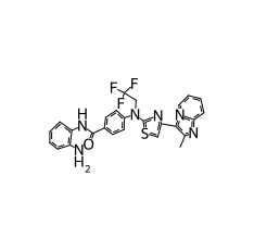 Cc1nc2ccccn2c1-c1csc(N(CC(F)(F)F)c2ccc(C(=O)Nc3ccccc3N)cc2)n1